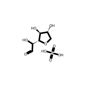 O=CC(O)[C@H]1OC[C@@H](O)[C@@H]1O.O=S(=O)(O)O